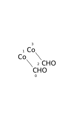 O=[CH][Co].O=[CH][Co]